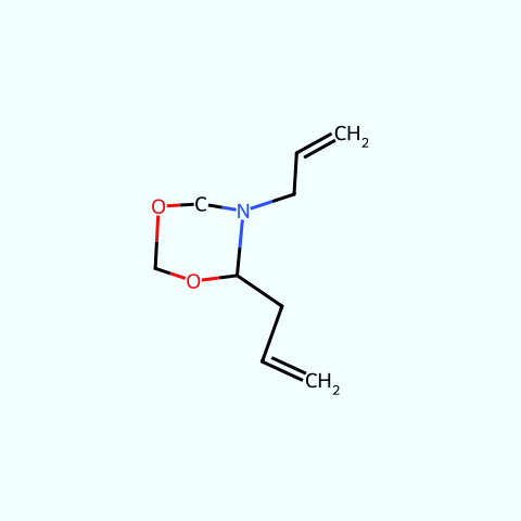 C=CCC1OCOCN1CC=C